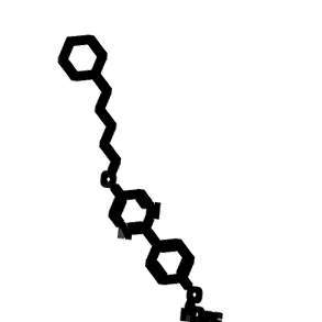 CCCCCCCCCCOc1ccc(-c2ncc(OCCCCCC3CCCCC3)cn2)cc1